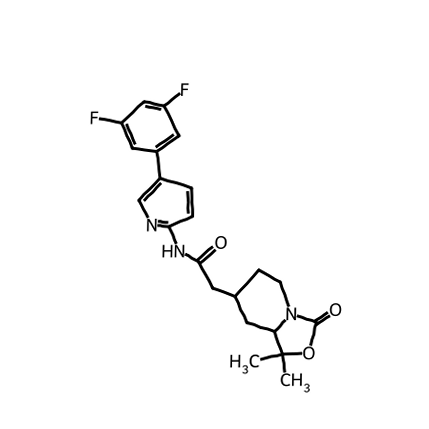 CC1(C)OC(=O)N2CCC(CC(=O)Nc3ccc(-c4cc(F)cc(F)c4)cn3)CC21